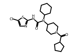 O=C(C1CCCC1)N1CCC(N(C(=O)Nc2ncc(Cl)s2)C2CCCCC2)CC1